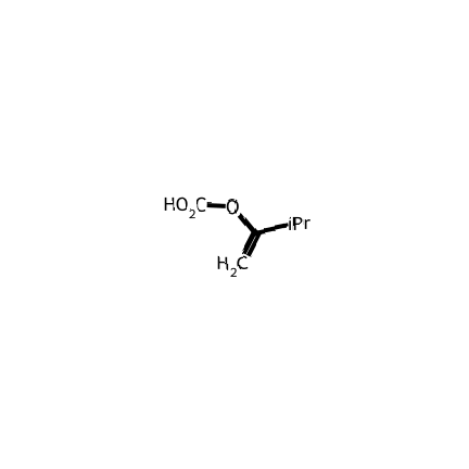 C=C(OC(=O)O)C(C)C